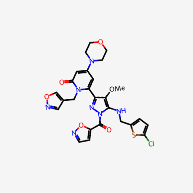 COc1c(-c2cc(N3CCOCC3)cc(=O)n2Cc2cnoc2)nn(C(=O)c2ccno2)c1NCc1ccc(Cl)s1